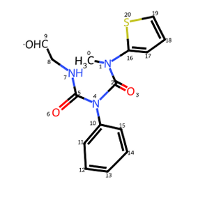 CN(C(=O)N(C(=O)NC[C]=O)c1ccccc1)c1cccs1